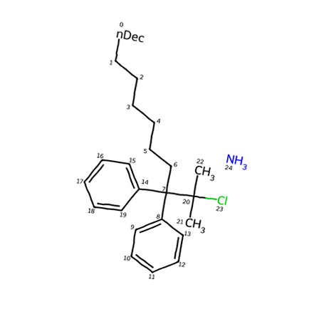 CCCCCCCCCCCCCCCCC(c1ccccc1)(c1ccccc1)C(C)(C)Cl.N